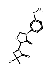 CC1(Cl)CN(C2OCN(c3cccc(OC(F)(F)F)c3)C2=O)C1=O